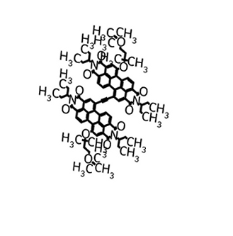 CCC(CC)N1C(=O)c2ccc3c4c(OC(C)(C)CCOC(C)(C)C)cc5c6c(ccc(c7c(C#Cc8cc9c%10c(ccc%11c%12c(OC(C)(C)CCOC(C)(C)C)cc%13c%14c(ccc(c8c%10%11)c%14%12)C(=O)N(C(CC)CC)C%13=O)C(=O)N(C(CC)CC)C9=O)cc(c2c37)C1=O)c64)C(=O)N(C(CC)CC)C5=O